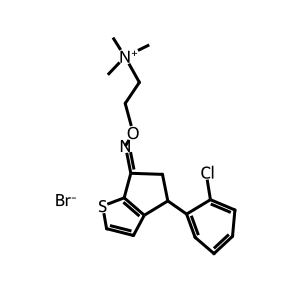 C[N+](C)(C)CCON=C1CC(c2ccccc2Cl)c2ccsc21.[Br-]